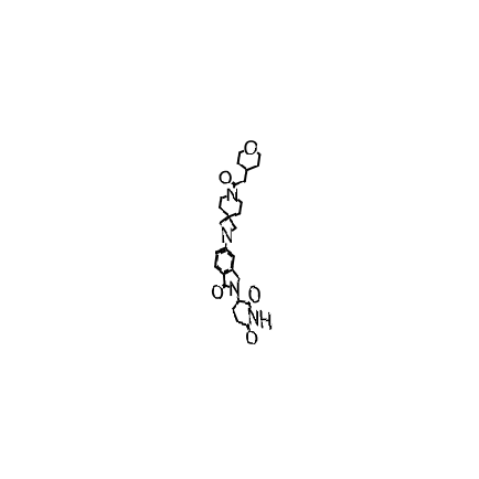 O=C1CCC(N2Cc3cc(N4CC5(CCN(C(=O)CC6CCOCC6)CC5)C4)ccc3C2=O)C(=O)N1